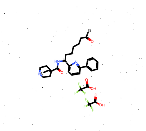 CCC(=O)CCCCC[C@H](NC(=O)C12CCN(CC1)CC2)c1cccc(-c2ccccc2)n1.O=C(O)C(F)(F)F.O=C(O)C(F)(F)F